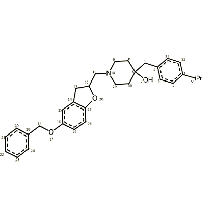 CC(C)c1ccc(CC2(O)CCN(CC3Cc4cc(OCc5ccccc5)ccc4O3)CC2)cc1